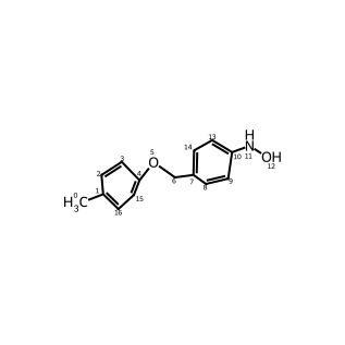 Cc1ccc(OCc2ccc(NO)cc2)cc1